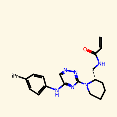 C=CC(=O)NC[C@@H]1CCCCN1c1nncc(Nc2ccc(C(C)C)cc2)n1